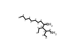 BC(CCCCCCCC)C(CC)C(CC)CN